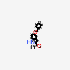 CC(C)C(=O)c1cc2cc(OCc3ccccc3)ccc2[nH]1